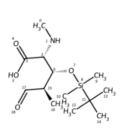 CN[C@@H](C(=O)O)[C@H](O[Si](C)(C)C(C)(C)C)[C@@H](C)C=O